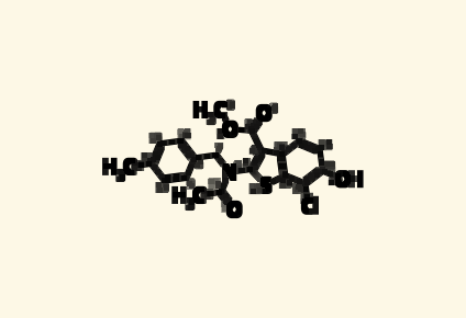 COC(=O)c1c(N(Cc2ccc(C)cc2)C(C)=O)sc2c(Cl)c(O)ccc12